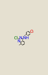 COc1ccc(CNc2nc(Cl)nc3c(C)cccc23)cc1